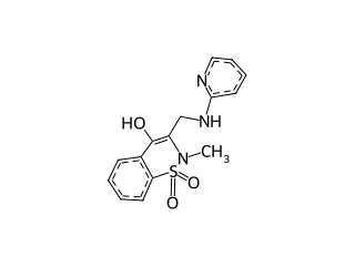 CN1C(CNc2ccccn2)=C(O)c2ccccc2S1(=O)=O